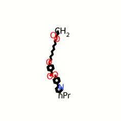 C=CC(=O)OCCCCCCCCOc1ccc(C(=O)Oc2ccc(-c3ccc(CCC)cn3)cc2)cc1